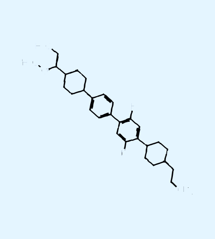 CCCC1CCC(c2cc(F)c(-c3ccc(C4CCC(C(CC)OC)CC4)cc3)cc2F)CC1